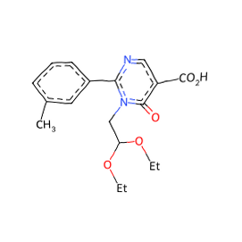 CCOC(Cn1c(-c2cccc(C)c2)ncc(C(=O)O)c1=O)OCC